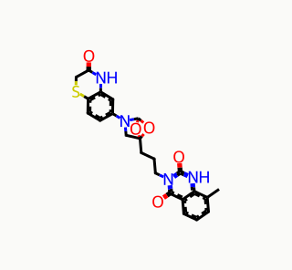 Cc1cccc2c(=O)n(CCCC34CN(c5ccc6c(c5)NC(=O)CS6)C(O3)O4)c(=O)[nH]c12